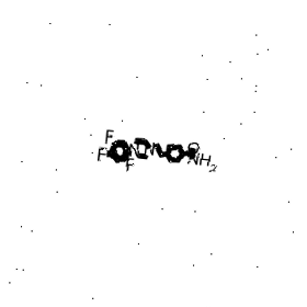 NC(=O)C1CCC(CCN2CCN(c3cc(F)c(F)cc3F)CC2)CC1